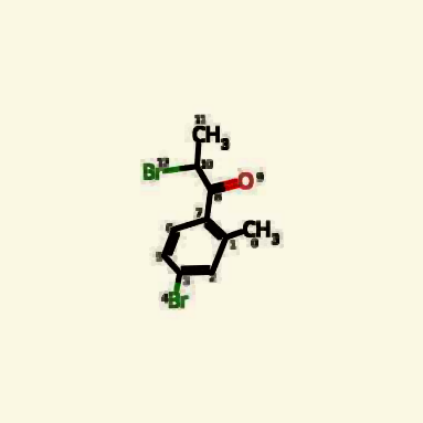 Cc1cc(Br)ccc1C(=O)C(C)Br